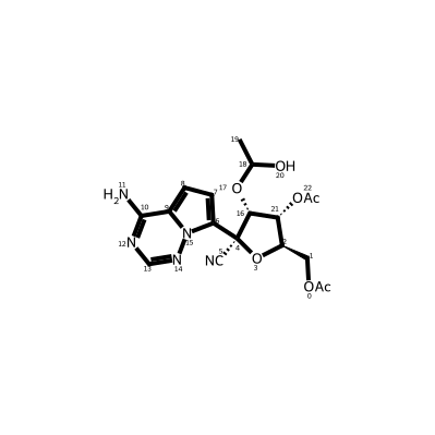 CC(=O)OC[C@H]1O[C@@](C#N)(c2ccc3c(N)ncnn23)[C@H](OC(C)O)[C@@H]1OC(C)=O